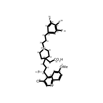 COc1ccc2ncc(Cl)c([C@H](F)CCC3(CC(=O)O)CCN(CCCc4cc(F)c(F)c(F)c4)CC3)c2c1